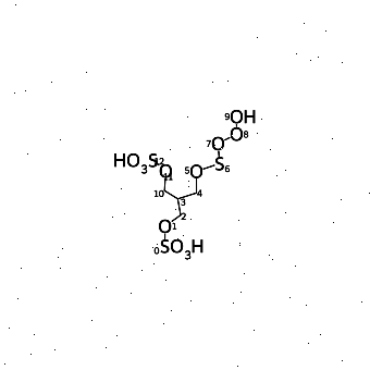 O=S(=O)(O)OCC(COSOOO)COS(=O)(=O)O